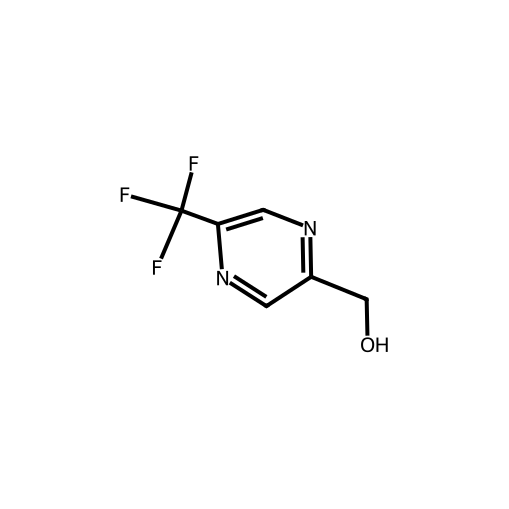 OCc1cnc(C(F)(F)F)cn1